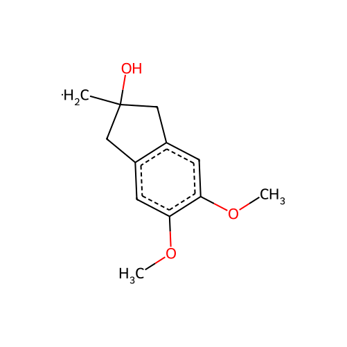 [CH2]C1(O)Cc2cc(OC)c(OC)cc2C1